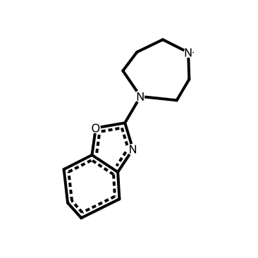 c1ccc2oc(N3CCC[N]CC3)nc2c1